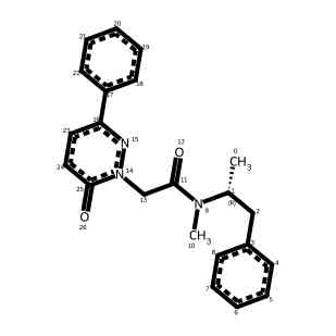 C[C@H](Cc1ccccc1)N(C)C(=O)Cn1nc(-c2ccccc2)ccc1=O